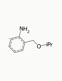 CC(C)OCc1ccc[c]c1N